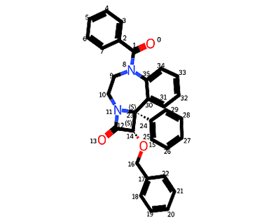 O=C(c1ccccc1)N1CCN2C(=O)[C@@H](OCc3ccccc3)[C@]2(c2ccccc2)c2ccccc21